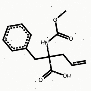 C=CCC(Cc1ccccc1)(NC(=O)OC)C(=O)O